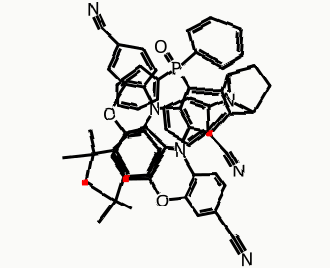 CC(C)(C)c1ccc2c(c1)Oc1cc(C#N)ccc1N2c1c(C#N)c2c(c(P(=O)(c3ccccc3)c3ccccc3)c1N1c3ccc(C#N)cc3Oc3cc(C(C)(C)C)ccc31)C1CCC2N1c1ccccc1